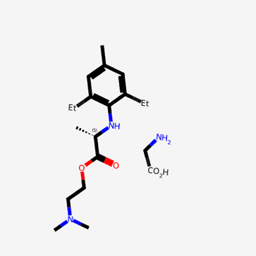 CCc1cc(C)cc(CC)c1N[C@@H](C)C(=O)OCCN(C)C.NCC(=O)O